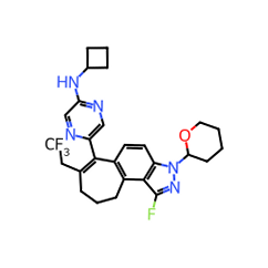 Fc1nn(C2CCCCO2)c2ccc3c(c12)CCCC(CC(F)(F)F)=C3c1cnc(NC2CCC2)cn1